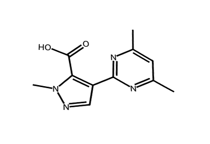 Cc1cc(C)nc(-c2cnn(C)c2C(=O)O)n1